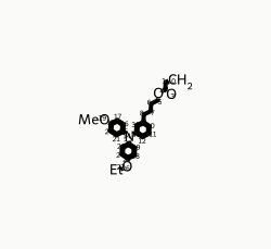 C=CC(=O)OCCCCc1cccc(N(c2ccc(OC)cc2)c2ccc(OCC)cc2)c1